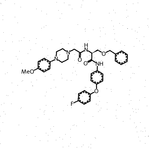 COc1ccc(N2CCN(CC(=O)N[C@@H](COCc3ccccc3)C(=O)Nc3ccc(Oc4ccc(F)cc4)cc3)CC2)cc1